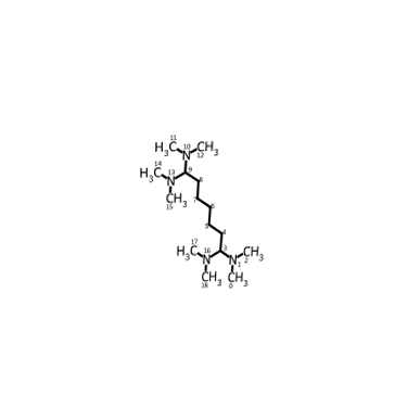 CN(C)C(CCCCCC(N(C)C)N(C)C)N(C)C